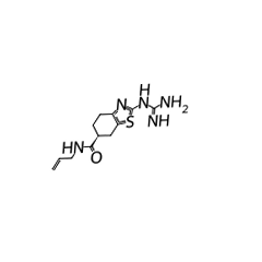 C=CCNC(=O)[C@H]1CCc2nc(NC(=N)N)sc2C1